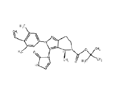 C=Cc1c(C)cc(-n2nc3c(c2-n2cc[nH]c2=O)[C@H](C)N(C(=O)OC(C)(C)C)CC3)cc1C